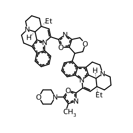 CC[C@@]12C=C(c3nc4c(o3)C(c3cccc5c3c3c6n5C(c5nc(C)c(N7CCOCC7)o5)=C[C@]5(CC)CCCN(CC3)[C@H]65)COC4)n3c4c(c5ccccc53)CCN(CCC1)[C@H]42